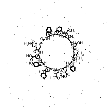 CCCC[C@H]1C(=O)N(C)CC(=O)N[C@@H](CC(=O)O)C(=O)N[C@@H](C(C)C)C(=O)N(C)[C@@H](Cc2ccccc2)C(=O)N[C@@H](CCC(=O)O)C(=O)N(C)[C@@H](CCC(=O)O)C(=O)N[C@@H](Cc2c[nH]c3ccccc23)C(=O)N[C@H](Cc2ccc(O)cc2)C(=O)N[C@@H](CCC(=O)O)C(=O)N[C@H](C(=O)NCC(N)=O)CSCC(=O)N[C@@H](Cc2ccccc2)C(=O)N(C)[C@@H](Cc2ccccc2)C(=O)N1C